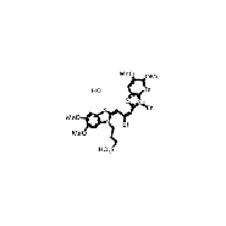 CCC(=Cc1sc2c([n+]1CC)[Te]C(OC)C(OC)=C2)C=C1Sc2cc(OC)c(OC)cc2N1CCCS(=O)(=O)O.[OH-]